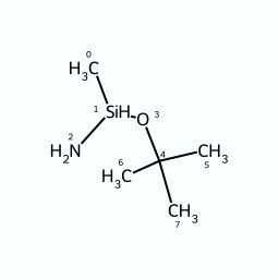 C[SiH](N)OC(C)(C)C